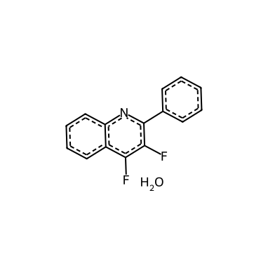 Fc1c(-c2ccccc2)nc2ccccc2c1F.O